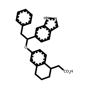 O=C(O)CC1CCCc2cc(OC(Cc3ccccc3)c3ccc4cn[nH]c4c3)ccc21